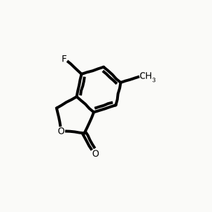 Cc1cc(F)c2c(c1)C(=O)OC2